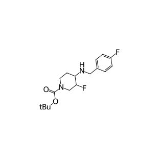 CC(C)(C)OC(=O)N1CCC(NCc2ccc(F)cc2)C(F)C1